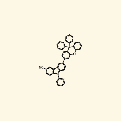 N#Cc1ccc2c(c1)c1cc(-c3ccc4c(c3)Oc3ccccc3C4(c3ccccc3)c3ccccc3)ccc1n2-c1ccccn1